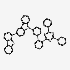 c1ccc(-c2nc(-c3ccccc3)nc(-c3ccccc3-c3cccc(-n4c5ccccc5c5cc(-c6cccc7c6sc6ccccc67)ccc54)c3)n2)cc1